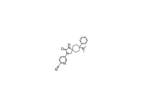 CN(C)C1(c2ccccc2)CCC2(CC1)CN(c1ccc(C#N)nc1)C(=O)N2